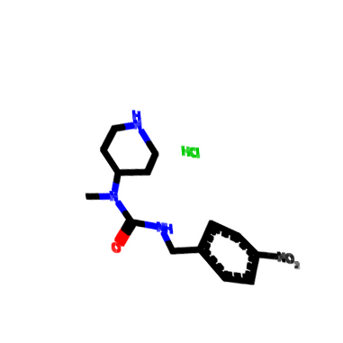 CN(C(=O)NCc1ccc([N+](=O)[O-])cc1)C1CCNCC1.Cl